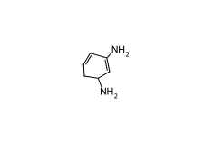 NC1=CC(N)CC=C1